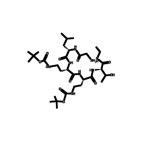 CCNC(=O)[C@@H](NC(=O)[C@H](CCNC(=O)OC(C)(C)C)NC(=O)[C@H](CCNC(=O)OC(C)(C)C)NC(=O)[C@H](CC(C)C)NC(=O)CN)C(C)O